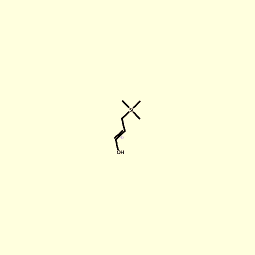 C[Si](C)(C)C/C=C/O